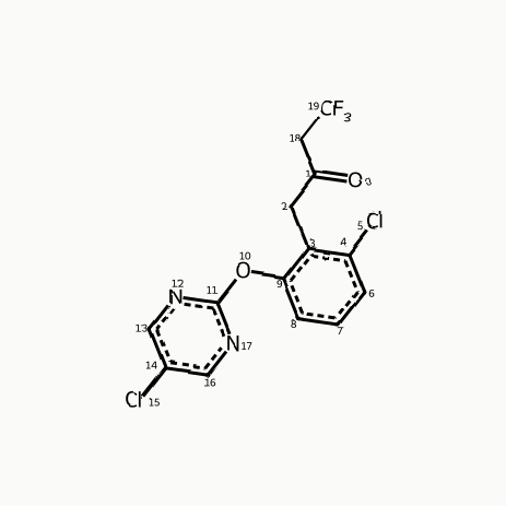 O=C(Cc1c(Cl)cccc1Oc1ncc(Cl)cn1)CC(F)(F)F